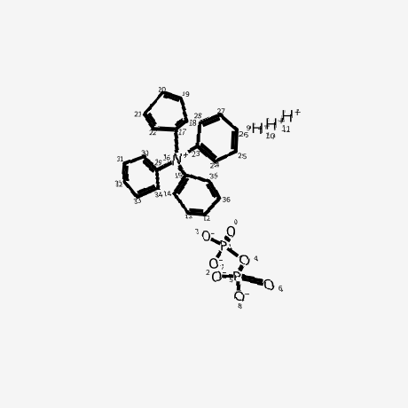 O=P([O-])([O-])OP(=O)([O-])[O-].[H+].[H+].[H+].c1ccc([N+](c2ccccc2)(c2ccccc2)c2ccccc2)cc1